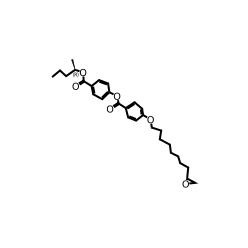 CCC[C@@H](C)OC(=O)c1ccc(OC(=O)c2ccc(OCCCCCCCCC3CO3)cc2)cc1